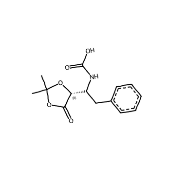 CC1(C)OC(=O)[C@@H](C(Cc2ccccc2)NC(=O)O)O1